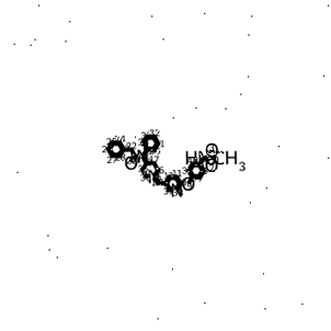 CS(=O)(=O)Nc1ccc(Oc2ccc(CN3CCC(N(C(=O)Cc4ccccc4)c4ccccc4)CC3)cn2)cc1